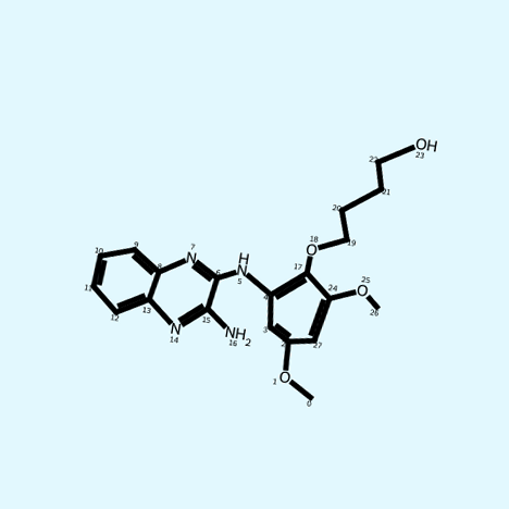 COc1cc(Nc2nc3ccccc3nc2N)c(OCCCCO)c(OC)c1